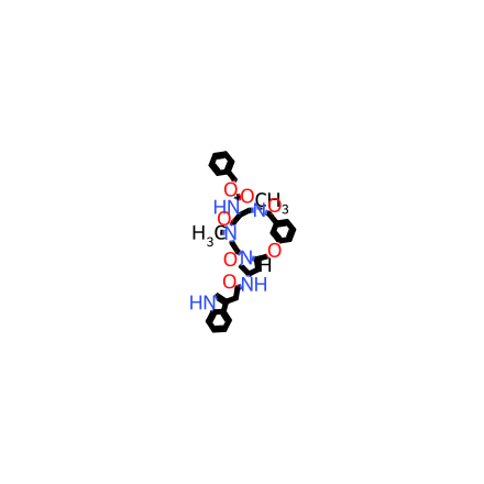 CN1CC(NC(=O)OCc2ccccc2)C(=O)N(C)CC(=O)N2CC(NC(=O)Cc3c[nH]c4ccccc34)C[C@H]2COc2cccc(c2)C1=O